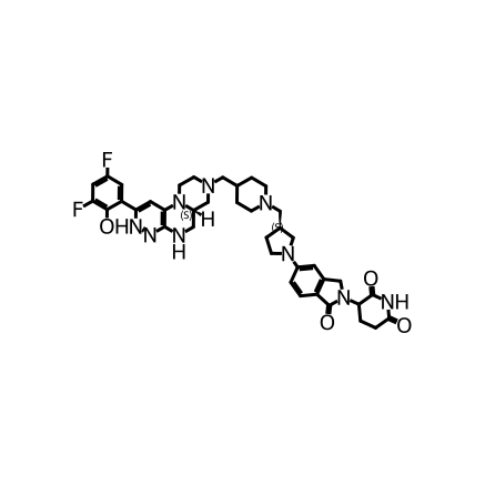 O=C1CCC(N2Cc3cc(N4CC[C@@H](CN5CCC(CN6CCN7c8cc(-c9cc(F)cc(F)c9O)nnc8NC[C@H]7C6)CC5)C4)ccc3C2=O)C(=O)N1